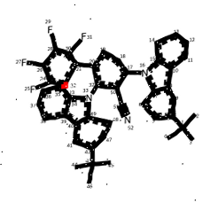 CC(C)(C)c1ccc2c(c1)c1ccccc1n2-c1ccc(-c2c(F)c(F)c(F)c(F)c2F)c(-n2c3ccccc3c3cc(C(C)(C)C)ccc32)c1C#N